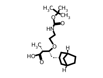 C[C@@H](C(=O)O)[C@@H](C[C@@H]1C[C@@H]2CC[C@@H](C2)C1)OCCNC(=O)OC(C)(C)C